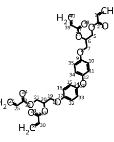 C=CC(=O)OCC(COc1ccc(Oc2ccc(OCC(COC(=O)C=C)OC(=O)C=C)cc2)cc1)OC(=O)C=C